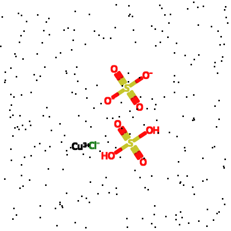 O=S(=O)(O)O.O=S(=O)([O-])[O-].[Cl-].[Cu+3]